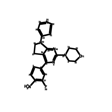 Nc1ccc(-c2nc(N3CCOCC3)nc3c2CCN3c2ccncc2)cc1F